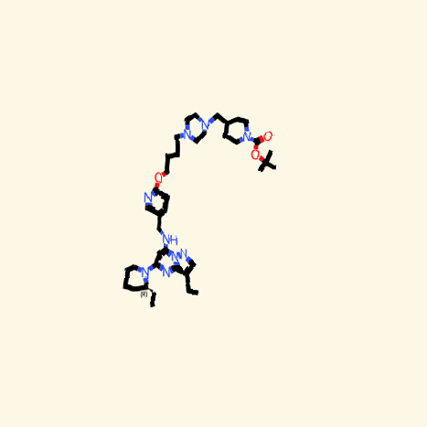 CCc1cnn2c(NCc3ccc(OCCCCN4CCN(CC5CCN(C(=O)OC(C)(C)C)CC5)CC4)nc3)cc(N3CCCC[C@H]3CC)nc12